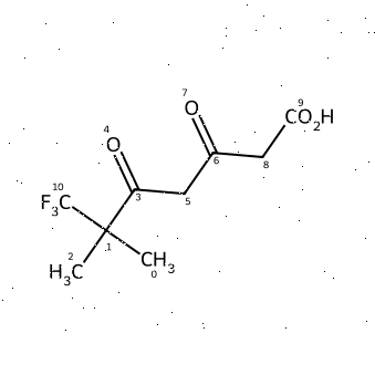 CC(C)(C(=O)CC(=O)CC(=O)O)C(F)(F)F